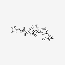 CC(C)n1cnnc1-c1cccc(Nc2cccc3oc(C(=O)NCCN4CCCC4)cc(=O)c23)n1